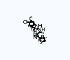 C[C@H](NC(=O)Nc1cc(Cl)c(Cl)cc1Cl)c1ncnn1-c1ncccn1